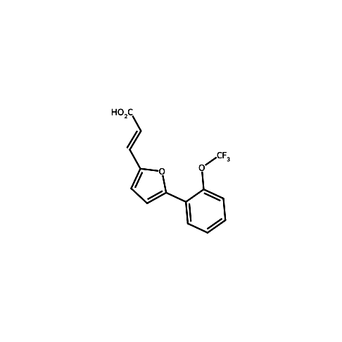 O=C(O)C=Cc1ccc(-c2ccccc2OC(F)(F)F)o1